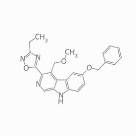 CCc1noc(-c2ncc3[nH]c4ccc(OCc5ccccc5)cc4c3c2COC)n1